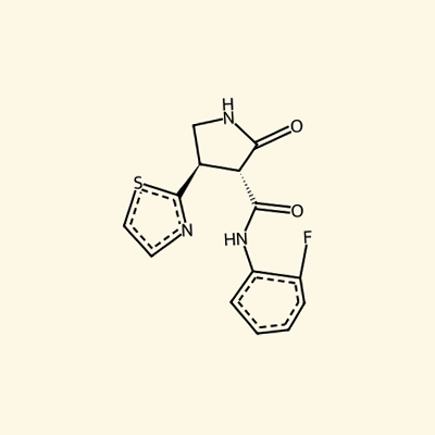 O=C1NC[C@H](c2nccs2)[C@H]1C(=O)Nc1ccccc1F